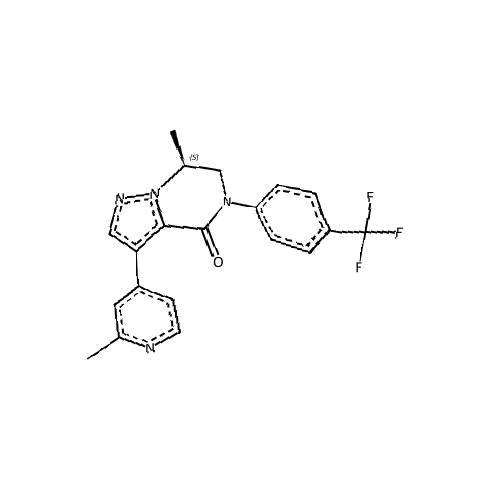 Cc1cc(-c2cnn3c2C(=O)N(c2ccc(C(F)(F)F)cc2)C[C@@H]3C)ccn1